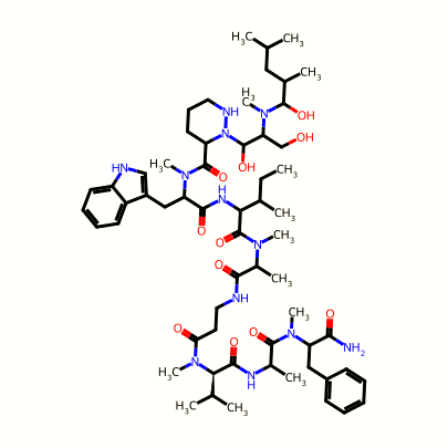 CCC(C)C(NC(=O)C(Cc1c[nH]c2ccccc12)N(C)C(=O)C1CCCNN1C(O)C(CO)N(C)C(O)C(C)CC(C)C)C(=O)N(C)C(C)C(=O)NCCC(=O)N(C)[C@@H](C(=O)NC(C)C(=O)N(C)C(Cc1ccccc1)C(N)=O)C(C)C